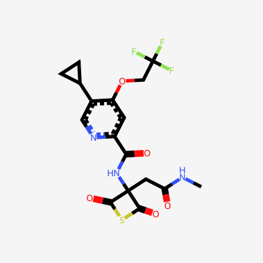 CNC(=O)CC1(NC(=O)c2cc(OCC(F)(F)F)c(C3CC3)cn2)C(=O)SC1=O